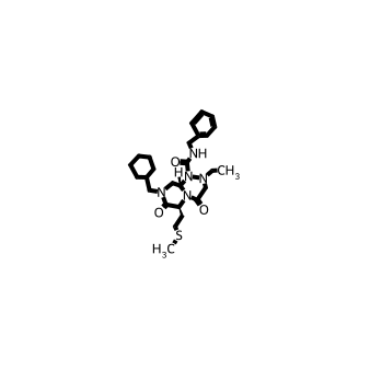 CCN1CC(=O)N2[C@@H](CCSC)C(=O)N(CC3CCCCC3)C[C@@H]2N1C(=O)NCc1ccccc1